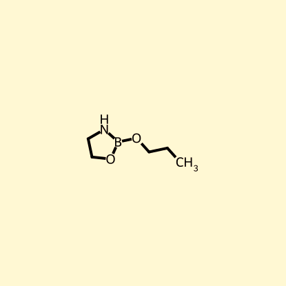 CCCOB1NCCO1